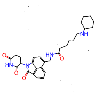 O=C(CCCCCNC1CCCCC1)NCc1ccc2c3c(cccc13)C(=O)N2C1CCC(=O)NC1=O